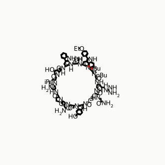 CCCCC1C(=O)N(C)C(CCCC)C(=O)NC(CCCNC(=N)N)C(=O)NC(C(=O)NCC(N)=O)CSCC(=O)NC(Cc2ccc(O)cc2)C(=O)N(C)C(C)C(=O)NC(CC(N)=O)C(=O)N2CCCC2C(=O)NC(CN)C(=O)NC(CC(C)C)C(=O)N2C[C@H](O)CC2C(=O)NC(Cc2c[nH]c3ccccc23)C(=O)N[C@@H](CO)C(=O)NC(Cc2c(-c3ccc(OCC)cc3)[nH]c3ccccc23)C(=O)N1C